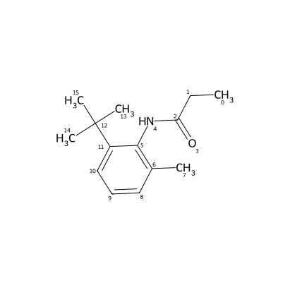 CCC(=O)Nc1c(C)cccc1C(C)(C)C